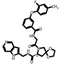 Cc1ccc(Oc2cccc(C(=O)NCC(=O)N3CC4(C[C@H]3C(=O)NCc3cc5cnccc5[nH]3)OCCO4)c2)c(F)c1